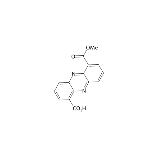 COC(=O)c1cccc2nc3c(C(=O)O)cccc3nc12